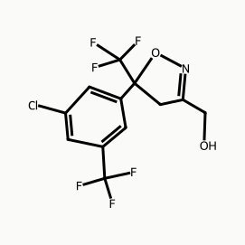 OCC1=NOC(c2cc(Cl)cc(C(F)(F)F)c2)(C(F)(F)F)C1